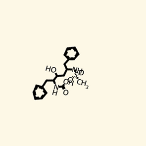 CS(=O)(=O)NC(Cc1ccccc1)CC(O)C(Cc1ccccc1)NC(=O)O